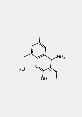 CC[C@@H](C(=O)O)C(N)c1cc(C)cc(C)c1.Cl